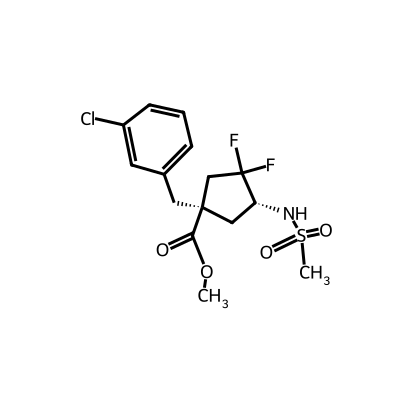 COC(=O)[C@]1(Cc2cccc(Cl)c2)C[C@@H](NS(C)(=O)=O)C(F)(F)C1